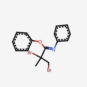 CC(Br)(CBr)C(=Nc1ccccc1)Oc1ccccc1